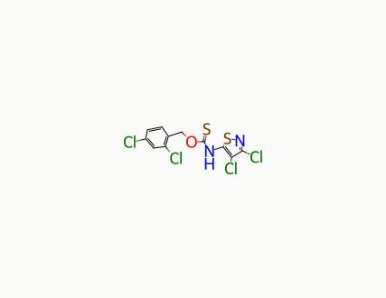 S=C(Nc1snc(Cl)c1Cl)OCc1ccc(Cl)cc1Cl